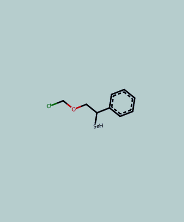 ClCOCC([SeH])c1ccccc1